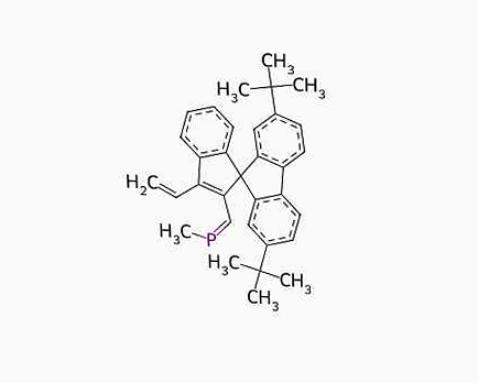 C=CC1=C(/C=P\C)C2(c3ccccc31)c1cc(C(C)(C)C)ccc1-c1ccc(C(C)(C)C)cc12